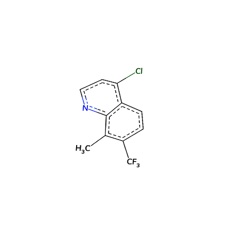 Cc1c(C(F)(F)F)ccc2c(Cl)ccnc12